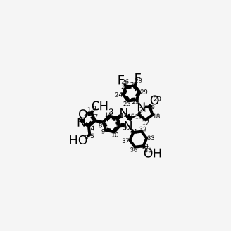 Cc1onc(CO)c1-c1ccc2c(c1)nc([C@@H]1CCC(=O)N1c1ccc(F)c(F)c1)n2C1CCC(O)CC1